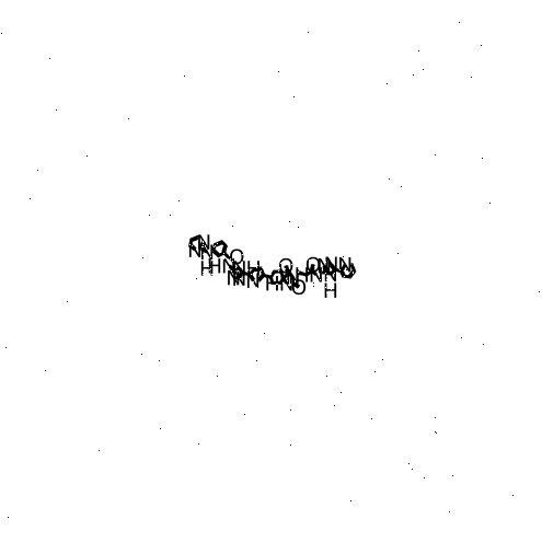 O=C(CCN1C(=O)NC2(CCC(c3ccc(-c4nnc(NC(=O)c5cccc(Nc6ncccn6)c5)[nH]4)nc3)CC2)C1=O)Nc1nnc(-c2ccccn2)[nH]1